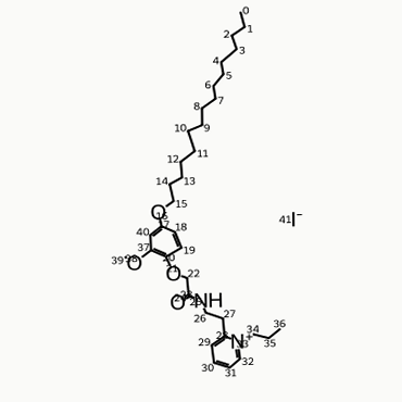 CCCCCCCCCCCCCCCCOc1ccc(OCC(=O)NCCc2cccc[n+]2CCC)c(OC)c1.[I-]